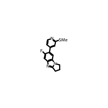 CSc1cc(-c2cc3c(cc2F)nc2n3CCC2)ccn1